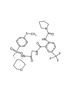 CSc1ccc(S(=O)(=O)C[C@H]2CCOC[C@H]2NC(=O)CNC(=O)c2cc(C(F)(F)F)ccc2NC(=O)N2CCCC2)cc1